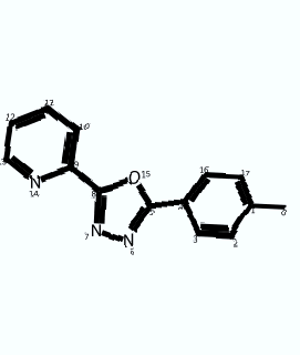 Cc1ccc(-c2nnc(-c3ccccn3)o2)cc1